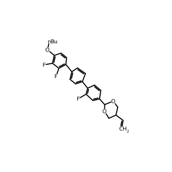 C=CC1COC(c2ccc(-c3ccc(-c4ccc(OCCCC)c(F)c4F)cc3)c(F)c2)OC1